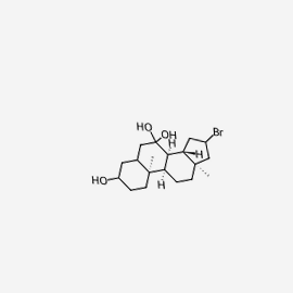 C[C@]12CC[C@@H]3[C@H]([C@@H]1CC(Br)C2)C(O)(O)CC1CC(O)CC[C@@]13C